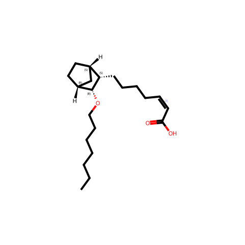 CCCCCCCO[C@@H]1[C@@H]2CC[C@@H](C2)[C@@H]1CCCC/C=C\C(=O)O